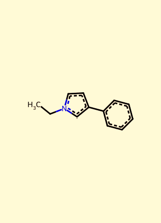 CCn1[c]c(-c2ccccc2)cc1